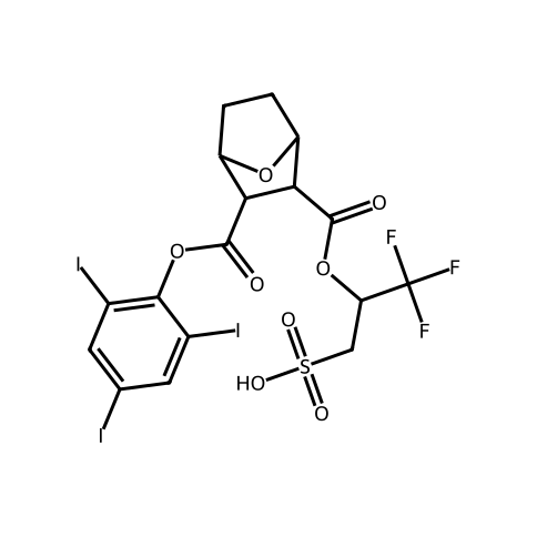 O=C(Oc1c(I)cc(I)cc1I)C1C2CCC(O2)C1C(=O)OC(CS(=O)(=O)O)C(F)(F)F